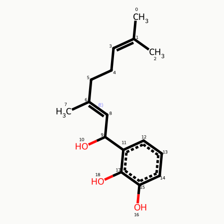 CC(C)=CCC/C(C)=C/C(O)c1cccc(O)c1O